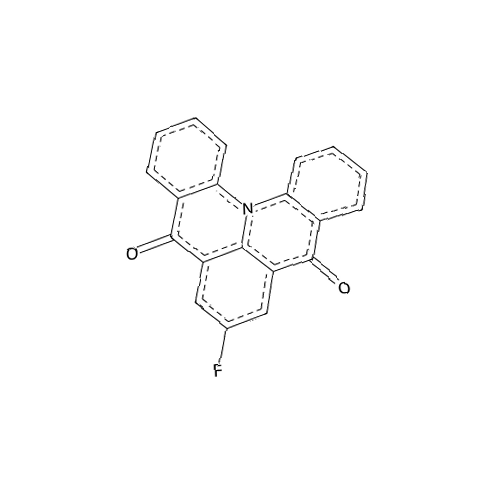 O=c1c2ccccc2n2c3ccccc3c(=O)c3cc(F)cc1c32